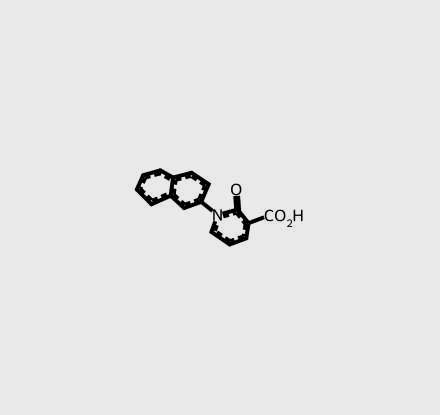 O=C(O)c1cccn(-c2ccc3ccccc3c2)c1=O